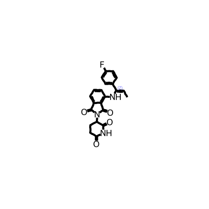 C/C=C(\Nc1cccc2c1C(=O)N(C1CCC(=O)NC1=O)C2=O)c1ccc(F)cc1